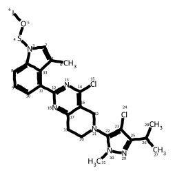 Cc1cn(SOI)c2cccc(-c3nc(Cl)c4c(n3)CCN(c3c(Cl)c(C(C)C)nn3C)C4)c12